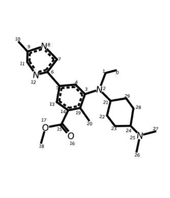 CCN(c1cc(-c2cnc(C)cn2)cc(C(=O)OC)c1C)C1CCC(N(C)C)CC1